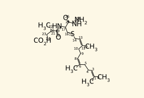 CC(C)=CCCC(C)=CCCC(C)=CCSCC(NC(=O)[C@@H](C)CC(=O)O)C(=O)NN